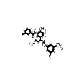 Cc1cc(Cl)cc(O/N=C(\CCC(F)(F)F)c2ccc(C)c(NC(=O)c3cccc(F)c3)c2)c1